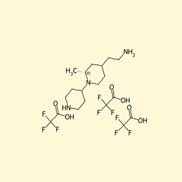 C[C@@H]1CC(CCN)CCN1C1CCNCC1.O=C(O)C(F)(F)F.O=C(O)C(F)(F)F.O=C(O)C(F)(F)F